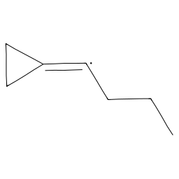 CCC[C]=C1CC1